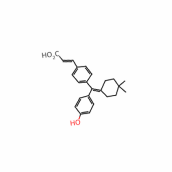 CC1(C)CCC(=C(c2ccc(O)cc2)c2ccc(/C=C/C(=O)O)cc2)CC1